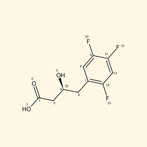 O=C(O)C[C@@H](O)Cc1cc(F)c(F)cc1F